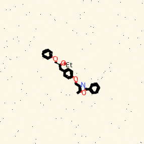 CCO[C@H](COc1ccccc1)Cc1ccc(OCc2nc(-c3ccccc3)oc2C)cc1